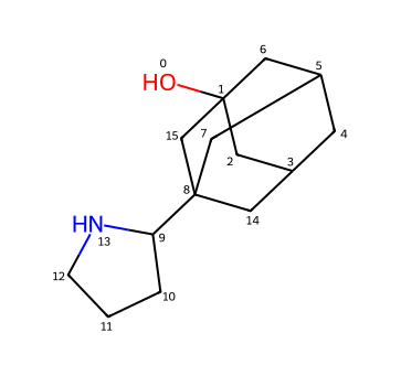 OC12CC3CC(C1)CC(C1CCCN1)(C3)C2